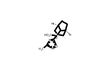 Cc1noc(N2C[C@H]3CC[C@@H](C2)C3NC(=O)O)n1